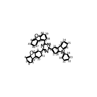 C1=c2oc3ccccc3c2=CCC1c1nc(-c2ccc3c(c2)c2ccccc2n3-c2ccccc2)nc(-c2cccc3oc4ccccc4c23)n1